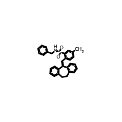 Cc1ccc(C=C2c3ccccc3CCc3ccccc32)c(S(=O)(=O)NCc2ccccc2)c1